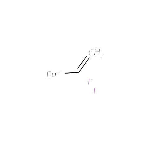 C=[CH][Eu+2].[I-].[I-]